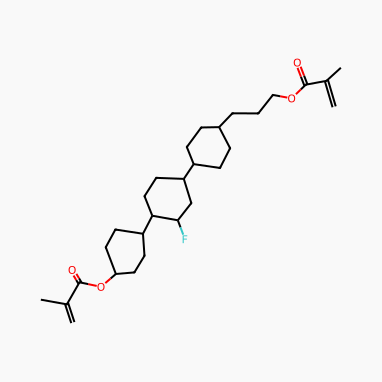 C=C(C)C(=O)OCCCC1CCC(C2CCC(C3CCC(OC(=O)C(=C)C)CC3)C(F)C2)CC1